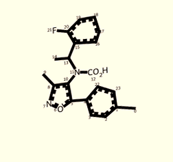 Cc1ccc(-c2onc(C)c2N(C(=O)O)C(C)c2ccccc2F)cc1